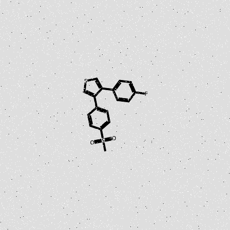 CS(=O)(=O)c1ccc(-c2[c]scc2-c2ccc(F)cc2)cc1